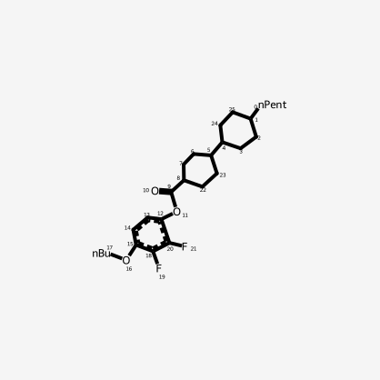 CCCCCC1CCC(C2CCC(C(=O)Oc3ccc(OCCCC)c(F)c3F)CC2)CC1